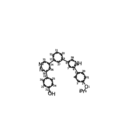 CC(C)Oc1ccc(-c2cc(-c3cccc(-c4cnnc(-c5ccc(O)cc5)c4)c3)c[nH]2)cc1